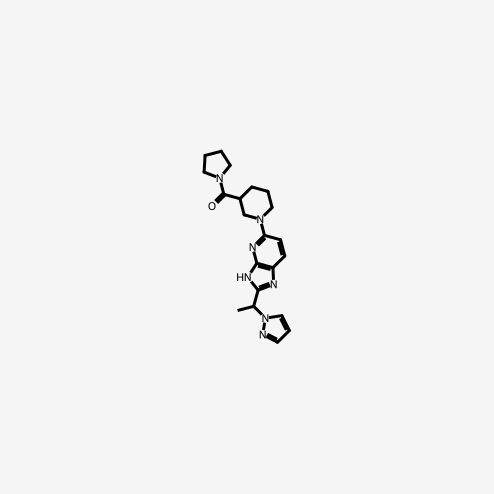 CC(c1nc2ccc(N3CCCC(C(=O)N4CCCC4)C3)nc2[nH]1)n1cccn1